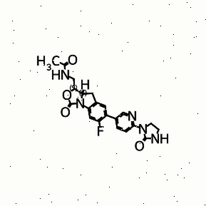 CC(=O)NC[C@@H]1OC(=O)N2c3cc(F)c(-c4ccc(N5CCNC5=O)nc4)cc3C[C@@H]12